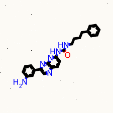 Nc1cccc(-c2cnc3ccc(NC(=O)NCCCCc4ccccc4)nc3n2)c1